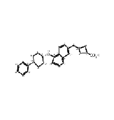 O=C(O)C1CN(Cc2ccc3c(O[C@H]4CC[C@H](c5ccccc5)CC4)cccc3c2)C1